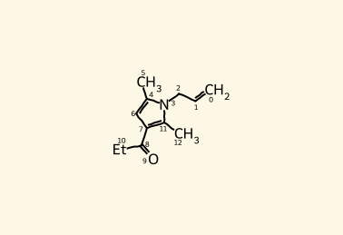 C=CCn1c(C)cc(C(=O)CC)c1C